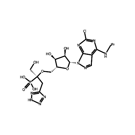 CC(C)Nc1nc(Cl)nc2c1cnn2[C@@H]1O[C@H](CO[C@@](CO)(Cc2nn[nH]n2)P(=O)(O)O)[C@@H](O)[C@H]1O